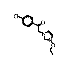 CCON1C=CN(CC(=O)c2ccc(Cl)cc2)C1